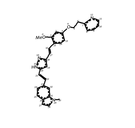 COc1cc(OCCc2ccccn2)ccc1/C=C/c1cc(/C=C/c2ccc3ccn(C)c3c2)[nH]n1